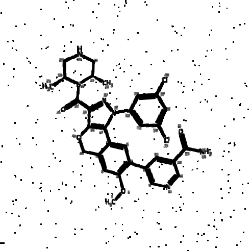 COc1cc2c(cc1-c1cncc(C(N)=O)c1)-c1c(c(C(=O)N3[C@H](C)CNC[C@@H]3C)nn1-c1cc(Cl)cc(Cl)c1)OC2